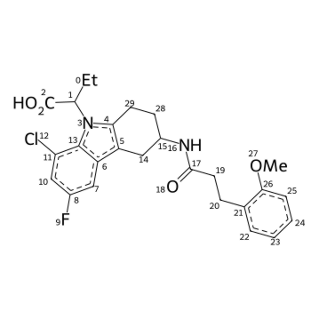 CCC(C(=O)O)n1c2c(c3cc(F)cc(Cl)c31)CC(NC(=O)CCc1ccccc1OC)CC2